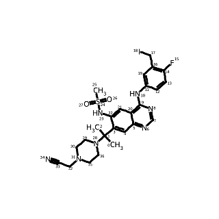 CC(C)(c1cc2ncnc(Nc3ccc(F)c(CI)c3)c2cc1NS(C)(=O)=O)N1CCN(CC#N)CC1